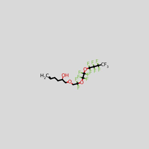 C=CCC[C@@H](O)COCC(F)(F)OC(F)(F)C(F)(F)OC(F)(F)C(F)(F)C(F)(F)C(F)(F)F